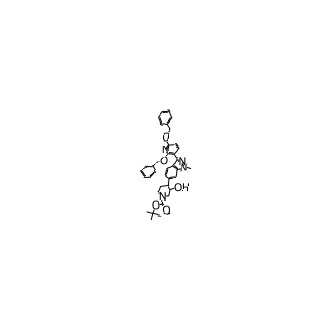 Cn1nc(-c2ccc(OCc3ccccc3)nc2OCc2ccccc2)c2ccc(C3CCN(C(=O)OC(C)(C)C)CC3O)cc21